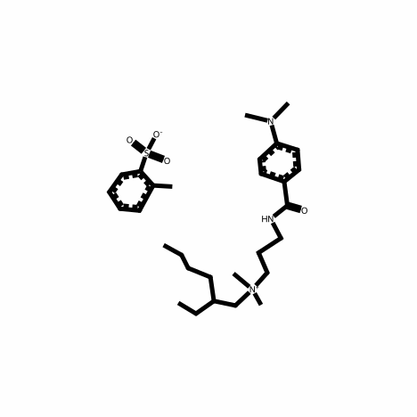 CCCCC(CC)C[N+](C)(C)CCCNC(=O)c1ccc(N(C)C)cc1.Cc1ccccc1S(=O)(=O)[O-]